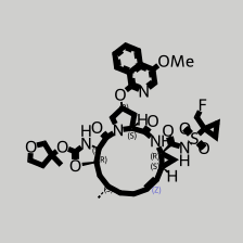 COc1cnc(O[C@@H]2C[C@H]3C(=O)N[C@]4(C(=O)NS(=O)(=O)C5(CF)CC5)C[C@H]4/C=C\CC[C@H](C)C[C@@H](C)[C@H](NC(=O)OC4(C)CCOC4)C(=O)N3C2)c2ccccc12